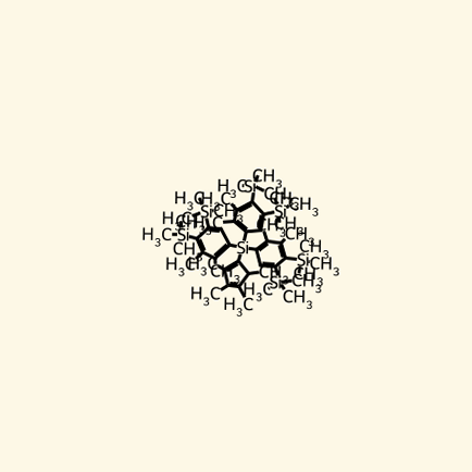 CC1=C(C)C(C)C([Si](c2cc([Si](C)(C)C)c([Si](C)(C)C)c(C)c2C)(c2cc([Si](C)(C)C)c([Si](C)(C)C)c(C)c2C)c2cc([Si](C)(C)C)c([Si](C)(C)C)c(C)c2C)=C1C